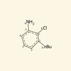 CCCCc1cccc(N)c1Cl